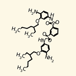 CCCCC(CC)COc1cc(NS(=O)(=O)c2cccc(S(=O)(=O)Nc3ccc(N)c(OCC(CC)CCCC)c3)c2)ccc1N